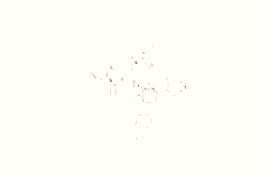 COc1ccc(-c2cc(-c3ccncc3)nc(N3CC(NC(=O)OC(C)(C)C)CC(NC(=O)OC(C)(C)C)C3)n2)cc1